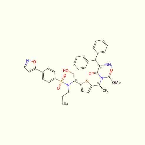 COC(=O)N(C(=O)[C@@H](N)C(c1ccccc1)c1ccccc1)[C@H](c1ccc([C@@H](CO)N(CCC(C)(C)C)S(=O)(=O)c2ccc(-c3ccno3)cc2)s1)C(F)(F)F